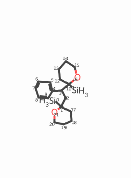 [SiH3]C1(CC(c2ccccc2)C2([SiH3])CCCCO2)CCCCO1